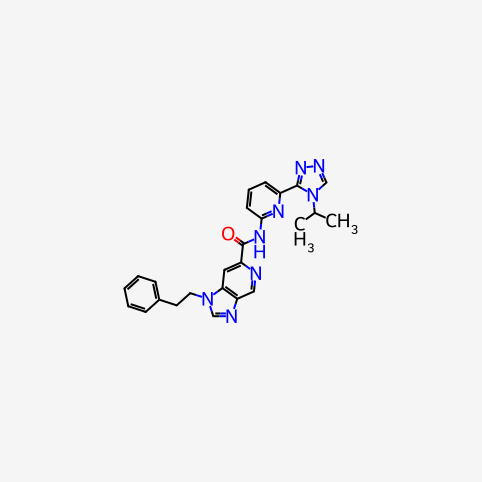 CC(C)n1cnnc1-c1cccc(NC(=O)c2cc3c(cn2)ncn3CCc2ccccc2)n1